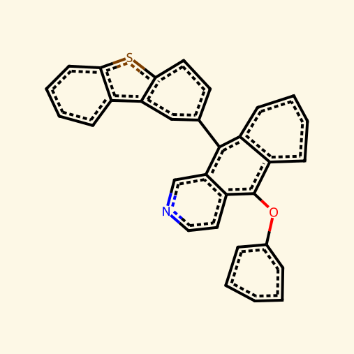 c1ccc(Oc2c3ccccc3c(-c3ccc4sc5ccccc5c4c3)c3cnccc23)cc1